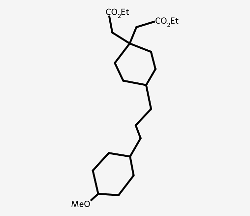 CCOC(=O)CC1(CC(=O)OCC)CCC(CCCC2CCC(OC)CC2)CC1